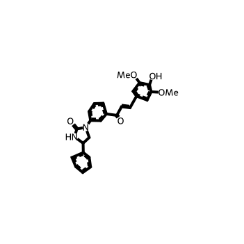 COc1cc(/C=C/C(=O)c2cccc(N3CC(c4ccccc4)NC3=O)c2)cc(OC)c1O